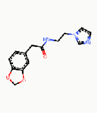 O=C(Cc1ccc2c(c1)OCO2)NCCn1ccnc1